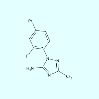 CC(C)c1ccc(-n2nc(C(F)(F)F)nc2N)c(F)c1